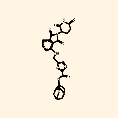 O=C1CCC(N2C(=O)c3cccc(NCc4csc(C(=O)NC56CC7CC(CC5C7)C6)n4)c3C2=O)C(=O)N1